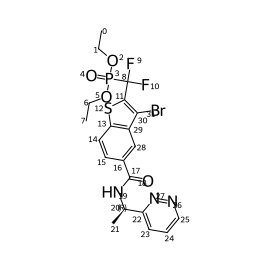 CCOP(=O)(OCC)C(F)(F)c1sc2ccc(C(=O)N[C@H](C)c3cccnn3)cc2c1Br